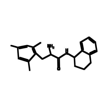 Cc1cc(C)c(CC(N)C(=O)NC2CCCc3ccccc32)c(C)c1